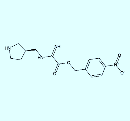 N=C(NC[C@H]1CCNC1)C(=O)OCc1ccc([N+](=O)[O-])cc1